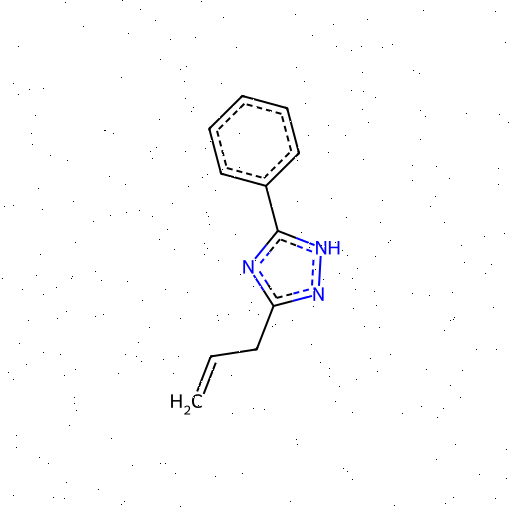 C=CCc1n[nH]c(-c2ccccc2)n1